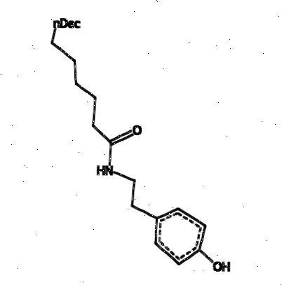 CCCCCCCCCCCCCCCC(=O)NCCc1ccc(O)cc1